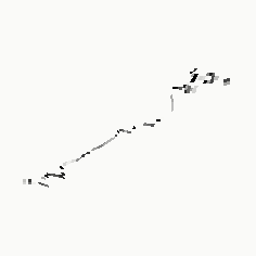 CCCCCCCCCCCCCCNC(C)=S